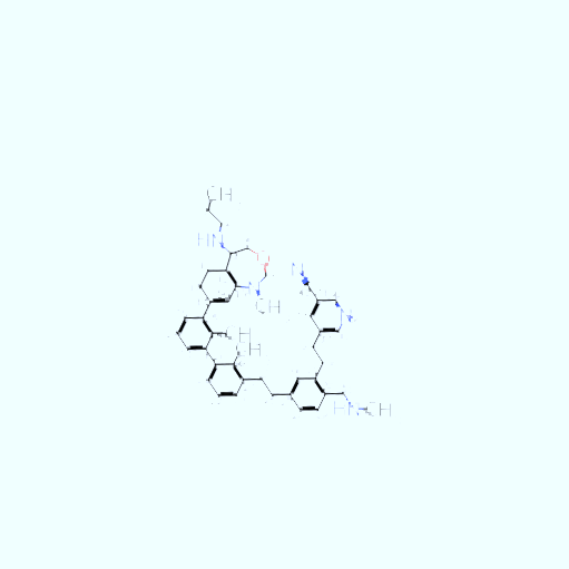 CCCNC1COCN(C)C2=C1CCC(c1cccc(-c3cccc(CCc4ccc(CNC)c(CCc5cncc(C#N)c5)c4)c3C)c1C)=C2